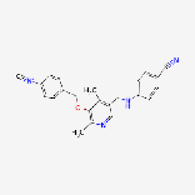 [C-]#[N+]c1ccc(COc2c(C)ncc(CNc3ccc(C#N)cc3)c2C)cc1